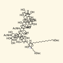 CCCCCCCCCCCCC/C=C/[C@@H](O)[C@H](CO[C@@H]1OC(CO)[C@@H](O[C@@H]2OC(CO)[C@H](O[C@@H]3OC(CO)[C@H](O)[C@H](O[C@@H]4OC(CO)[C@H](O[C@@H]5OC(CO)[C@H](O)[C@H](O)C5NC(C)=O)[C@H](O[C@]5(C(=O)O)CC(O)[C@@H](NC(=O)CO)C([C@H](O)[C@H](O)CO)O5)C4O)C3NC(C)=O)[C@H](O[C@]3(C(=O)O)CC(O)[C@@H](NC(C)=O)C([C@H](O)[C@H](O)CO)O3)C2O)[C@H](O)C1O)NC(=O)CCCCCCCCCCCCCCCCCCCCCCC